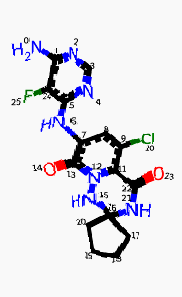 Nc1ncnc(Nc2cc(Cl)c3n(c2=O)NC2(CCCC2)NC3=O)c1F